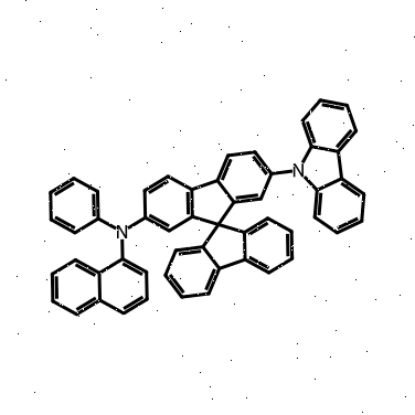 c1ccc(N(c2ccc3c(c2)C2(c4ccccc4-c4ccccc42)c2cc(-n4c5ccccc5c5ccccc54)ccc2-3)c2cccc3ccccc23)cc1